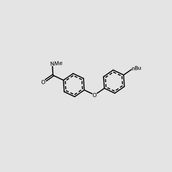 CCCCc1ccc(Oc2ccc(C(=O)NC)cc2)cc1